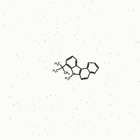 Cn1c2ccc3ccccc3c2c2cccc(C(C)(C)C)c21